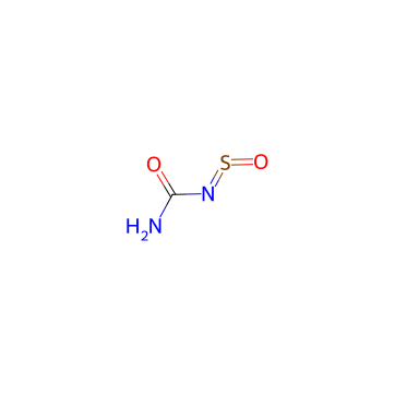 NC(=O)N=S=O